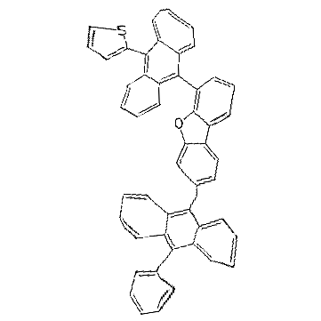 c1ccc(-c2c3ccccc3c(-c3ccc4c(c3)oc3c(-c5c6ccccc6c(-c6cccs6)c6ccccc56)cccc34)c3ccccc23)cc1